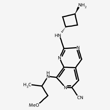 COCC(C)Nc1nc(C#N)cc2cnc(N[C@H]3C[C@H](N)C3)nc12